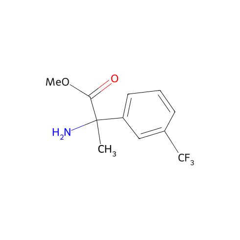 COC(=O)C(C)(N)c1cccc(C(F)(F)F)c1